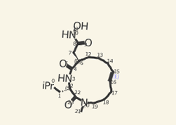 CC(C)C[C@@H]1NC(=O)[C@@H](CC(=O)NO)CCC/C=C/CCCN(C)C1=O